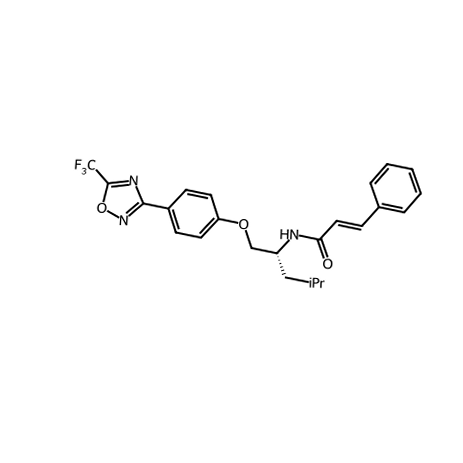 CC(C)C[C@H](COc1ccc(-c2noc(C(F)(F)F)n2)cc1)NC(=O)C=Cc1ccccc1